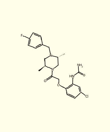 C[C@@H]1CN(C(=O)COc2ccc(Cl)cc2NC(N)=O)[C@@H](C)CN1Cc1ccc(F)cc1